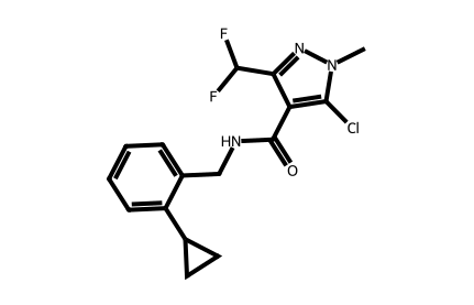 Cn1nc(C(F)F)c(C(=O)NCc2ccccc2C2CC2)c1Cl